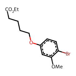 CCOC(=O)CCCCOc1ccc(Br)c(OC)c1